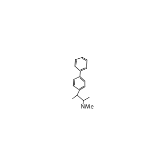 CNC(C)C(C)c1ccc(-c2ccccc2)cc1